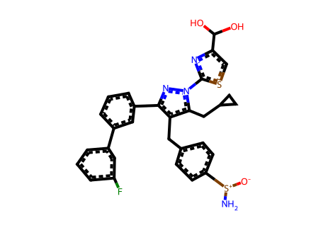 N[S+]([O-])c1ccc(Cc2c(-c3cccc(-c4cccc(F)c4)c3)nn(-c3nc(C(O)O)cs3)c2CC2CC2)cc1